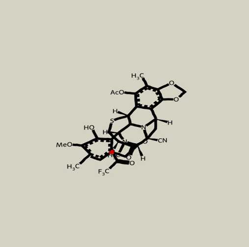 COc1c(C)cc2c(c1O)[C@@H]1C3[C@@H]4SC[C@H](OC(=O)C(F)(F)F)C(=O)OC[C@@H](c5c6c(c(C)c(OC(C)=O)c54)OCO6)N3[C@@H](C#N)[C@H](C2)N1C